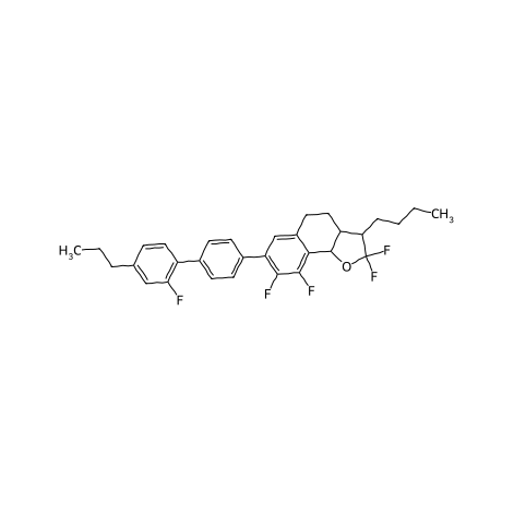 CCCCC1C2CCc3cc(-c4ccc(-c5ccc(CCC)cc5F)cc4)c(F)c(F)c3C2OC1(F)F